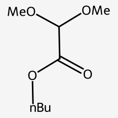 CCCCOC(=O)C(OC)OC